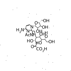 CC(=O)N[C@@H]([C@@H](O)[C@H](O)[C@H](O)CO)[C@@H](O)CC(=O)C(=O)O.Nc1ccn([C@@H]2O[C@H](CO)[C@@H](O)[C@H]2O)c(=O)n1